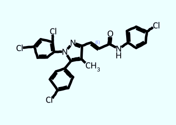 Cc1c(/C=C/C(=O)Nc2ccc(Cl)cc2)nn(-c2ccc(Cl)cc2Cl)c1-c1ccc(Cl)cc1